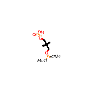 COP(OC)OCC(C)(C)CO[PH](=O)O